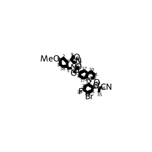 COc1ccc(CN(c2ccon2)S(=O)(=O)c2ccc3c(ccc(=O)n3-c3cc(F)c(Br)cc3OC(C)C#N)c2)cc1